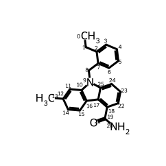 CCc1ccccc1Cn1c2cc(C)c[c]c2c2c(C(N)=O)cccc21